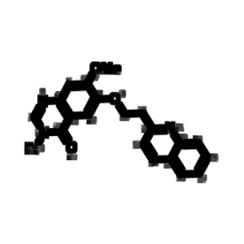 CCn1cnc2cc(OC)c(OCCc3ccc4ccccc4n3)cc2c1=O